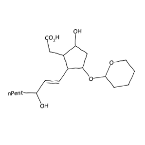 CCCCCC(O)C=CC1C(OC2CCCCO2)CC(O)C1CC(=O)O